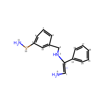 N/C=C(\NCc1cccc(SN)c1)c1ccccc1